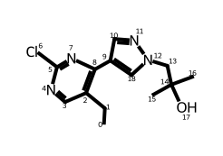 CCc1cnc(Cl)nc1-c1cnn(CC(C)(C)O)c1